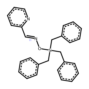 C(=N\O[Si](Cc1ccccc1)(Cc1ccccc1)Cc1ccccc1)/c1ccccn1